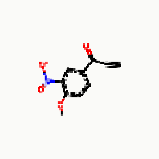 C#CC(=O)c1ccc(OC)c([N+](=O)[O-])c1